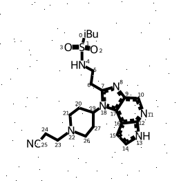 CCC(C)S(=O)(=O)NCCc1nc2cnc3[nH]ccc3c2n1C1CCN(CCC#N)CC1